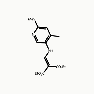 CCOC(=O)C(=CNc1cnc(SC)cc1C)C(=O)OCC